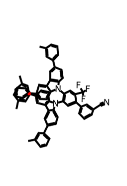 Cc1cccc(-c2ccc3c(c2)c2cc(-c4cccc(C)c4)ccc2n3-c2cc(-c3cccc(C#N)c3)c(C(F)(F)F)cc2-n2c3ccc(-c4cccc(C)c4)cc3c3cc(-c4cccc(C)c4)ccc32)c1